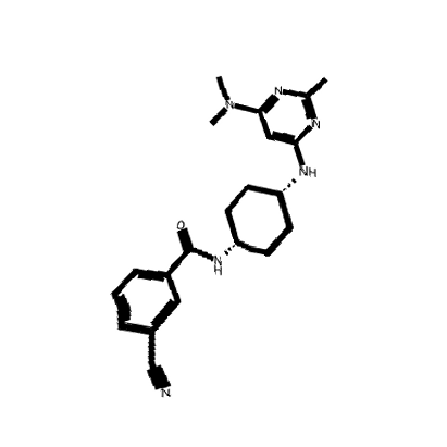 Cc1nc(N[C@H]2CC[C@@H](NC(=O)c3cccc(C#N)c3)CC2)cc(N(C)C)n1